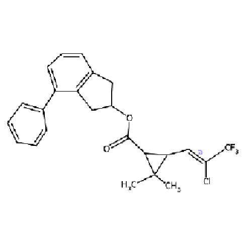 CC1(C)C(/C=C(\Cl)C(F)(F)F)C1C(=O)OC1Cc2cccc(-c3ccccc3)c2C1